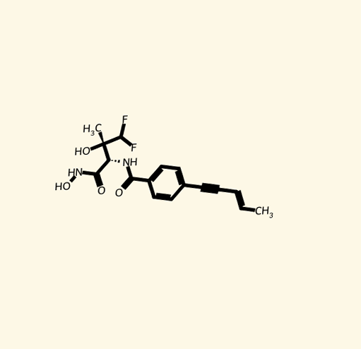 C/C=C/C#Cc1ccc(C(=O)N[C@H](C(=O)NO)[C@](C)(O)C(F)F)cc1